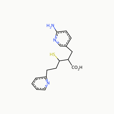 Nc1ccc(CC(C(=O)O)C(S)CCc2ccccn2)cn1